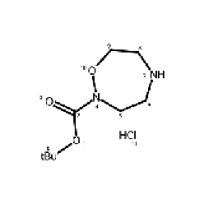 CC(C)(C)OC(=O)N1CCNCCO1.Cl